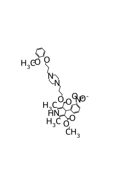 CCOC(=O)C1=C(C)NC(C)=C(C(=O)OCCCN2CCN(CCCOc3ccccc3OC)CC2)C1c1cccc([N+](=O)[O-])c1